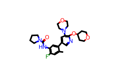 Cc1cc(F)c(NC(=O)N2CCCC2)cc1-c1cnc(OC2CCOCC2)c(N2CCOCC2)c1